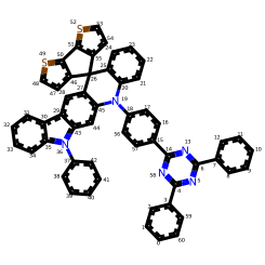 c1ccc(-c2nc(-c3ccccc3)nc(-c3ccc(N4c5ccccc5C5(c6cc7c8ccccc8n(-c8ccccc8)c7cc64)c4ccsc4-c4sccc45)cc3)n2)cc1